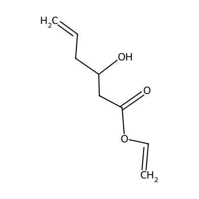 C=CCC(O)CC(=O)OC=C